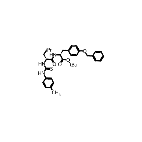 Cc1ccc(NC(=S)N[C@@H](CC(C)C)C(=O)N[C@@H](Cc2ccc(OCc3ccccc3)cc2)C(=O)OC(C)(C)C)cc1